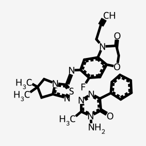 C#CCN1C(=O)COc2cc(F)c(/N=c3\snc4n3CC(C)(C)C4)cc21.Cc1nnc(-c2ccccc2)c(=O)n1N